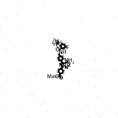 [2H]C([2H])([2H])Oc1ccc(F)cc1C(=O)NCc1ccc(-c2nc(C3CCC(C(=O)OC)CC3)n3ncnc(N)c23)cc1